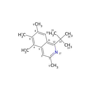 Cc1cc2c(C)c(C)c(C)cc2c(C(C)(C)C)n1